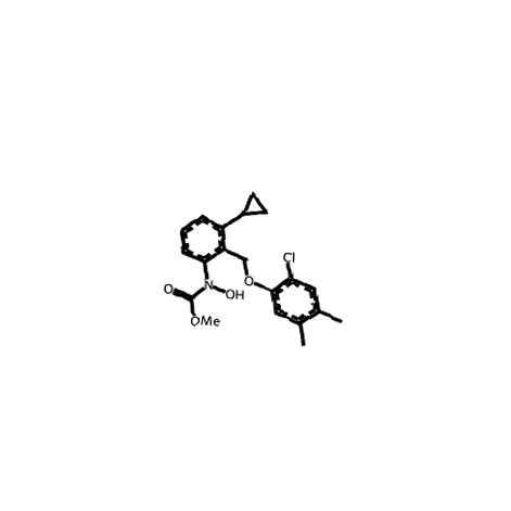 COC(=O)N(O)c1cccc(C2CC2)c1COc1cc(C)c(C)cc1Cl